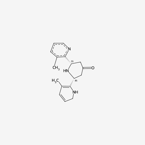 CC1=C([C@H]2CC(=O)C[C@@H](c3ncccc3C)N2)NCC=C1